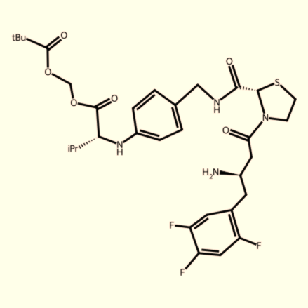 CC(C)[C@@H](Nc1ccc(CNC(=O)[C@@H]2SCCN2C(=O)C[C@H](N)Cc2cc(F)c(F)cc2F)cc1)C(=O)OCOC(=O)C(C)(C)C